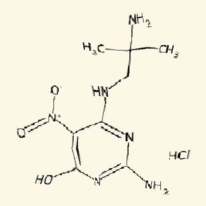 CC(C)(N)CNc1nc(N)nc(O)c1[N+](=O)[O-].Cl